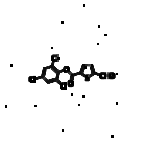 O=Cc1ccc(C(=O)Oc2c(Cl)cc(Cl)cc2Cl)s1